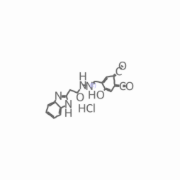 Cl.O=C=c1cc(O)c(/C=N/NC(=O)Cc2nc3ccccc3[nH]2)cc1=C=O